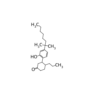 CCCCCCC(C)(C)c1ccc(C2CC(=O)CCC2CCC)c(O)c1